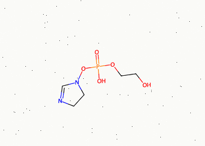 O=P(O)(OCCO)ON1C=NCC1